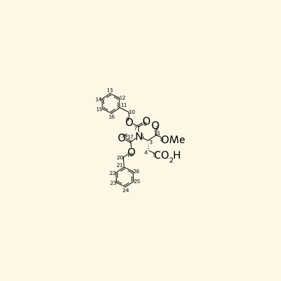 COC(=O)[C@H](CC(=O)O)N(C(=O)OCc1ccccc1)C(=O)OCc1ccccc1